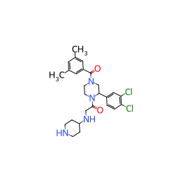 Cc1cc(C)cc(C(=O)N2CCN(C(=O)CNC3CCNCC3)C(c3ccc(Cl)c(Cl)c3)C2)c1